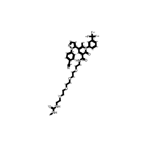 CNC(=O)NCCOCCOCCOCCOCCNC(=O)c1cc(-c2ccnn2-c2ccc(C#N)cc2)c(C)n(-c2cccc(C(F)(F)F)c2)c1=O